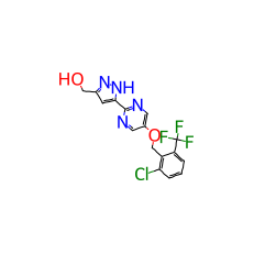 OCc1cc(-c2ncc(OCc3c(Cl)cccc3C(F)(F)F)cn2)[nH]n1